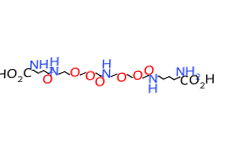 NC(CCCCNC(=O)COCCOCCNC(=O)COCCOCCCNC(=O)CCC(N)C(=O)O)C(=O)O